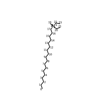 CCCCCCCCCCCCCCCCCC[N+](C)(CC)CC